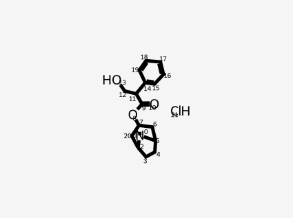 CN1C2CCC1CC(OC(=O)C(CO)c1ccccc1)C2.Cl